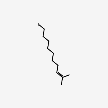 CC(C)=CCCCCCCCI